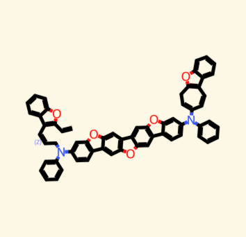 C=Cc1oc2ccccc2c1/C=C\CN(c1ccccc1)c1ccc2c(c1)oc1cc3c(cc12)oc1cc2c(cc13)oc1cc(N(C3=CCc4oc5ccccc5c4C=C3)c3ccccc3)ccc12